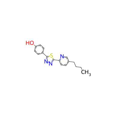 CCCCc1ccc(-c2nnc(-c3ccc(O)cc3)s2)nc1